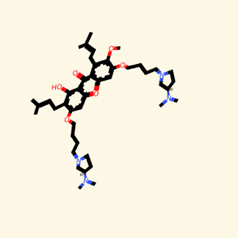 COc1c(OCCCCN2CC[C@@H](N(C)C)C2)cc2oc3cc(OCCCCN4CC[C@@H](N(C)C)C4)c(CC=C(C)C)c(O)c3c(=O)c2c1CC=C(C)C